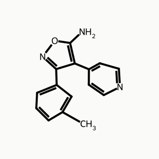 Cc1cccc(-c2noc(N)c2-c2ccncc2)c1